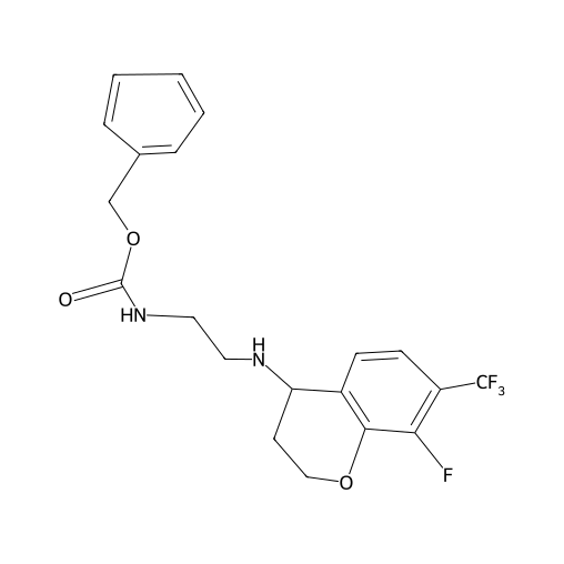 O=C(NCCNC1CCOc2c1ccc(C(F)(F)F)c2F)OCc1ccccc1